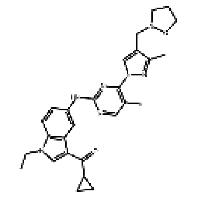 CCn1cc(C(=O)C2CC2)c2cc(Nc3ncc(C)c(-n4cc(CN5CCCO5)c(C)n4)n3)ccc21